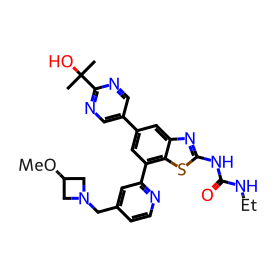 CCNC(=O)Nc1nc2cc(-c3cnc(C(C)(C)O)nc3)cc(-c3cc(CN4CC(OC)C4)ccn3)c2s1